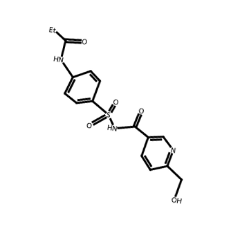 CCC(=O)Nc1ccc(S(=O)(=O)NC(=O)c2ccc(CO)nc2)cc1